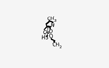 C=CCO[PH]1(S)OCc2cc(C)cnc2O1